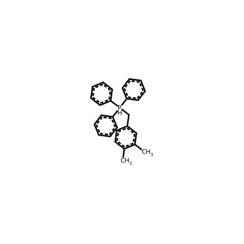 Cc1ccc(C[PH](c2ccccc2)(c2ccccc2)c2ccccc2)cc1C